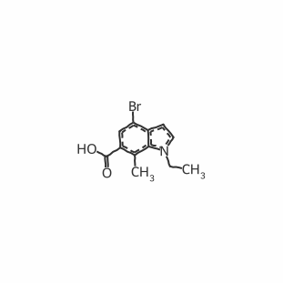 CCn1ccc2c(Br)cc(C(=O)O)c(C)c21